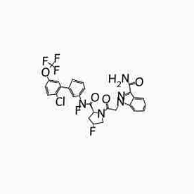 NC(=O)c1nn(CC(=O)N2C[C@H](F)C[C@H]2C(=O)N(F)c2cccc(-c3cc(OC(F)(F)F)ccc3Cl)c2)c2ccccc12